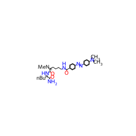 CCCC[C@H](NC(=O)[C@@H](CCCCNC(=O)c1ccc(/N=N/c2ccc(N(C)C)cc2)cc1)NC)C(N)=O